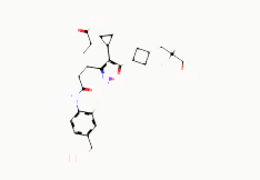 CC(C)(CO)C[C@H]1C[C@@H](c2onc([C@@H](CCC(=O)O)CC(=O)Nc3ccc(CO)cc3Cl)c2C2CC2)C1